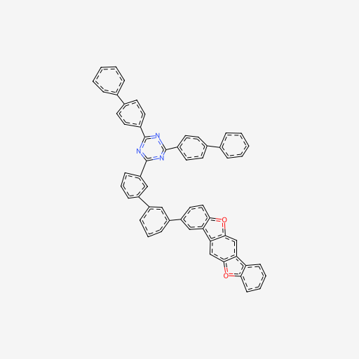 c1ccc(-c2ccc(-c3nc(-c4ccc(-c5ccccc5)cc4)nc(-c4cccc(-c5cccc(-c6ccc7oc8cc9c(cc8c7c6)oc6ccccc69)c5)c4)n3)cc2)cc1